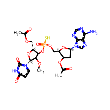 COC1C(OP(=O)(S)OC[C@H]2O[C@@H](n3cnc4c(N)ncnc43)CC2OC(C)=O)[C@@H](COC(C)=O)O[C@H]1n1ccc(=O)[nH]c1=O